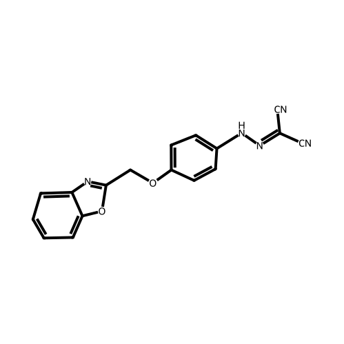 N#CC(C#N)=NNc1ccc(OCc2nc3ccccc3o2)cc1